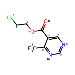 O=C(OCCCl)c1cncnc1C(F)(F)F